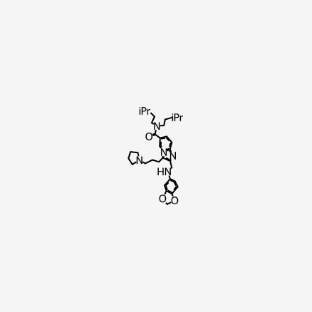 CC(C)CCN(CCC(C)C)C(=O)c1ccc2nc(CNc3ccc4c(c3)OCO4)c(CCCN3CCCC3)n2c1